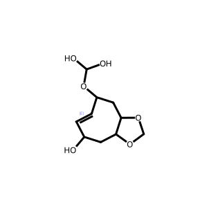 OC1/C=C/C(OC(O)O)CC2OCOC2C1